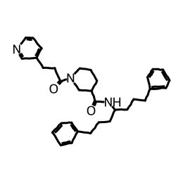 O=C(NC(CCCc1ccccc1)CCCc1ccccc1)C1CCCN(C(=O)CCc2cccnc2)C1